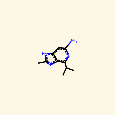 Cc1nc2c(C(C)C)nc(N)cc2[nH]1